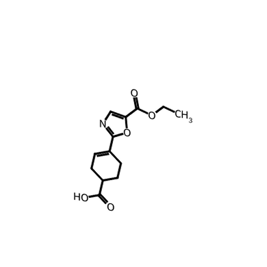 CCOC(=O)c1cnc(C2=CCC(C(=O)O)CC2)o1